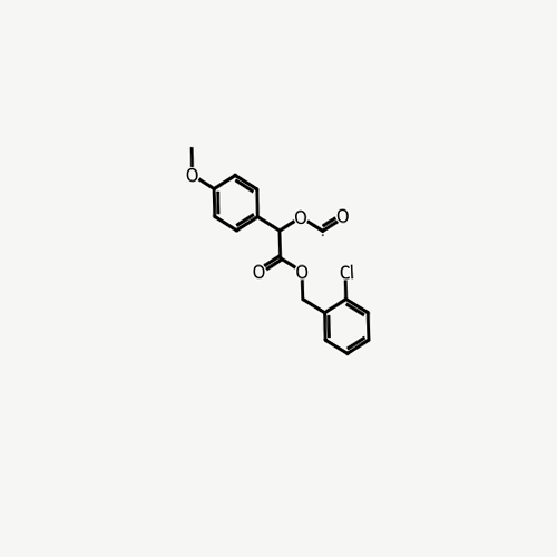 COc1ccc(C(O[C]=O)C(=O)OCc2ccccc2Cl)cc1